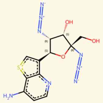 [N-]=[N+]=N[C@H]1[C@H](c2csc3c(N)ccnc23)O[C@@](CO)(N=[N+]=[N-])[C@H]1O